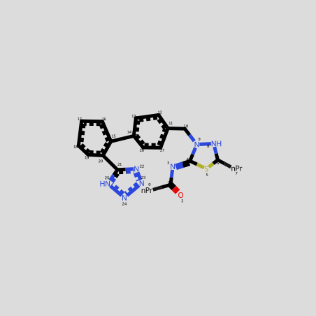 CCCC(=O)N=C1SC(CCC)NN1Cc1ccc(-c2ccccc2-c2nnn[nH]2)cc1